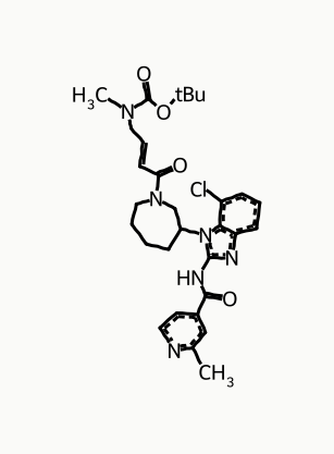 Cc1cc(C(=O)Nc2nc3cccc(Cl)c3n2C2CCCCN(C(=O)C=CCN(C)C(=O)OC(C)(C)C)C2)ccn1